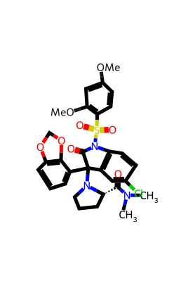 COc1ccc(S(=O)(=O)N2C(=O)C(c3cccc4c3OCO4)(N3CCC[C@H]3C(=O)N(C)C)c3cc(Cl)ccc32)c(OC)c1